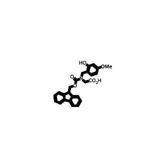 COc1ccc(CN(CC(=O)O)C(=O)OCC2c3ccccc3-c3ccccc32)c(O)c1